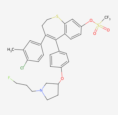 Cc1cc(C2=C(c3ccc(OC4CCN(CCCF)C4)cc3)c3ccc(OS(=O)(=O)C(F)(F)F)cc3SCC2)ccc1Cl